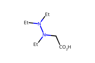 CCN(CC)N(CC)CC(=O)O